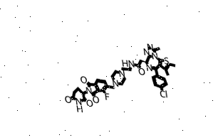 Cc1sc2c(c1C)C(c1ccc(Cl)cc1)=N[C@@H](CC(=O)NCCN1CCN(Cc3ccc4c(c3F)C(=O)N(C3CCC(=O)NC3=O)C4=O)CC1)c1nnc(C)n1-2